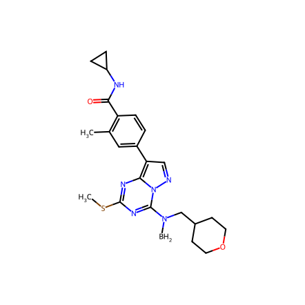 BN(CC1CCOCC1)c1nc(SC)nc2c(-c3ccc(C(=O)NC4CC4)c(C)c3)cnn12